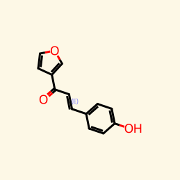 O=C(/C=C/c1ccc(O)cc1)c1ccoc1